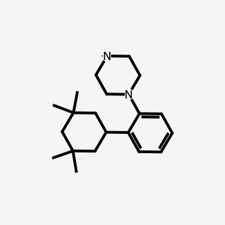 CC1(C)CC(c2ccccc2N2CC[N]CC2)CC(C)(C)C1